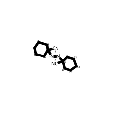 N#CC1(/N=N/C2(C#N)CCCCC2)CCCCC1